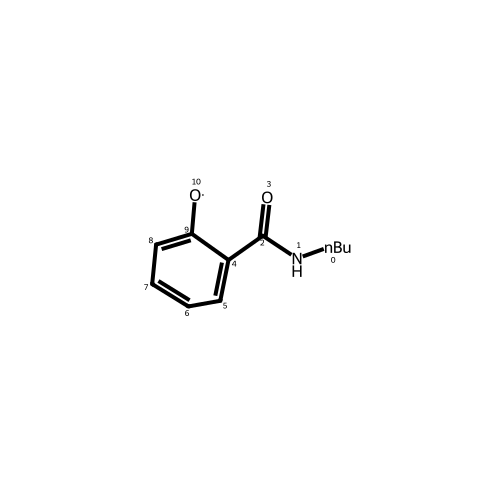 CCCCNC(=O)c1ccccc1[O]